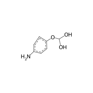 Nc1ccc(OC(O)O)cc1